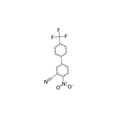 N#Cc1cc(-c2ccc(C(F)(F)F)cc2)ccc1[N+](=O)[O-]